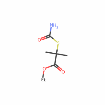 CCOC(=O)C(C)(C)SC(N)=O